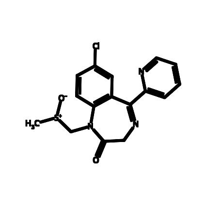 C[S+]([O-])CN1C(=O)CN=C(c2ccccn2)c2cc(Cl)ccc21